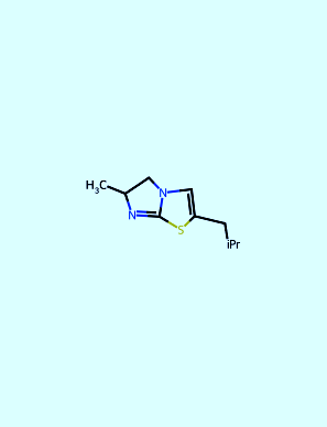 CC(C)CC1=CN2CC(C)N=C2S1